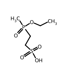 CCOP(C)(=O)CCS(=O)(=O)O